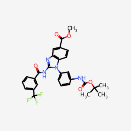 COC(=O)c1ccc2c(c1)nc(NC(=O)c1cccc(C(F)(F)F)c1)n2-c1cccc(NC(=O)OC(C)(C)C)c1